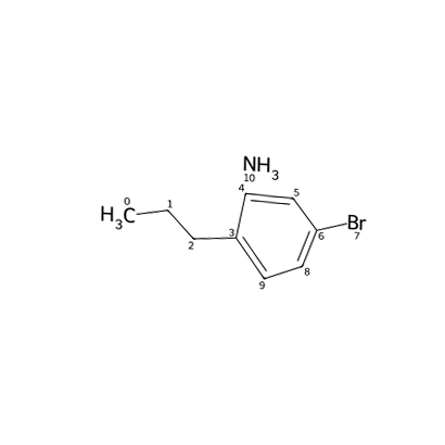 CCCc1ccc(Br)cc1.N